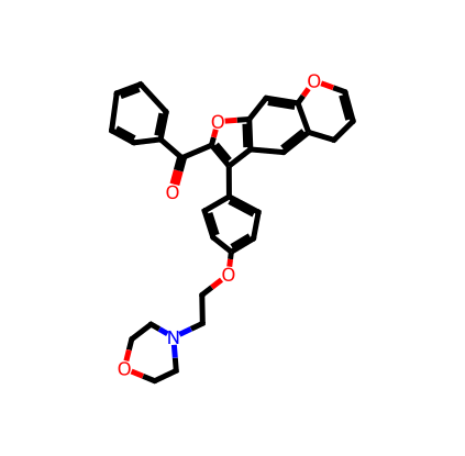 O=C(c1ccccc1)c1oc2cc3c(cc2c1-c1ccc(OCCN2CCOCC2)cc1)CC=CO3